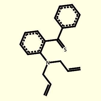 C=CCN(CC=C)c1ccccc1C(=S)c1ccccc1